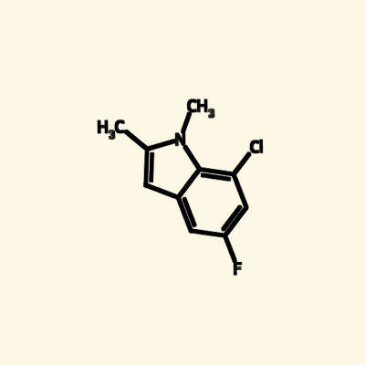 Cc1cc2cc(F)cc(Cl)c2n1C